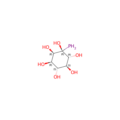 O[C@@H]1[C@@H](O)[C@@H](O)[C@](O)(P)[C@H](O)[C@H]1O